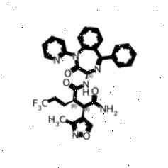 Cc1nocc1[C@H](C(N)=O)[C@@H](CCC(F)(F)F)C(=O)N[C@H]1N=C(c2ccccc2)c2ccccc2N(c2ccccn2)C1=O